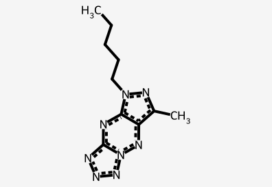 CCCCCn1nc(C)c2nn3nnnc3nc21